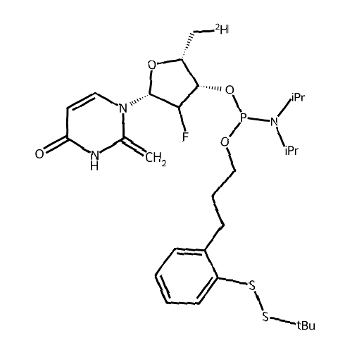 [2H]C[C@H]1O[C@@H](N2C=CC(=O)NC2=C)C(F)[C@H]1OP(OCCCc1ccccc1SSC(C)(C)C)N(C(C)C)C(C)C